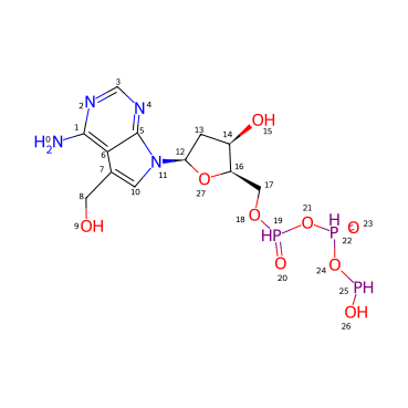 Nc1ncnc2c1c(CO)cn2[C@H]1C[C@@H](O)[C@@H](CO[PH](=O)O[PH](=O)OPO)O1